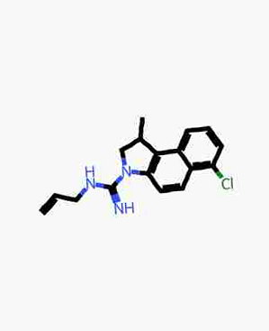 C=CCNC(=N)N1CC(C)c2c1ccc1c(Cl)cccc21